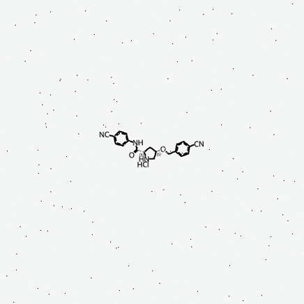 Cl.N#Cc1ccc(CO[C@@H]2CN[C@H](C(=O)Nc3ccc(C#N)cc3)C2)cc1